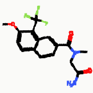 COc1ccc2ccc(C(=O)N(C)CC(N)=O)cc2c1C(F)(F)F